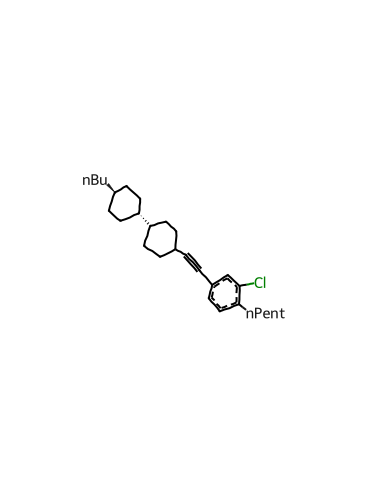 CCCCCc1ccc(C#CC2CCC([C@H]3CC[C@H](CCCC)CC3)CC2)cc1Cl